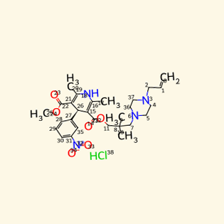 C=CCN1CCN(CC(C)(C)COC(=O)C2=C(C)NC(C)=C(C(=O)OC)[C@@H]2c2cccc([N+](=O)[O-])c2)CC1.Cl